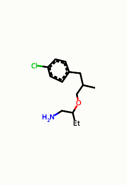 CCC(CN)OCC(C)Cc1ccc(Cl)cc1